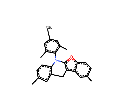 Cc1ccc2c(c1)Cc1c(oc3ccc(C)cc13)N2c1c(C)cc(C(C)(C)C)cc1C